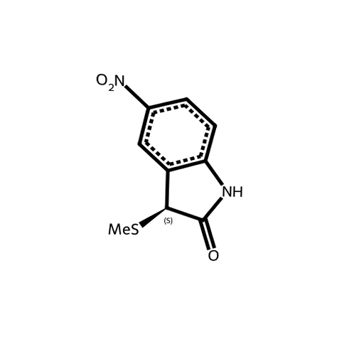 CS[C@@H]1C(=O)Nc2ccc([N+](=O)[O-])cc21